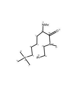 CNC(CCCC[N+](C)(C)C)C(=O)N(C)CCC(C)C